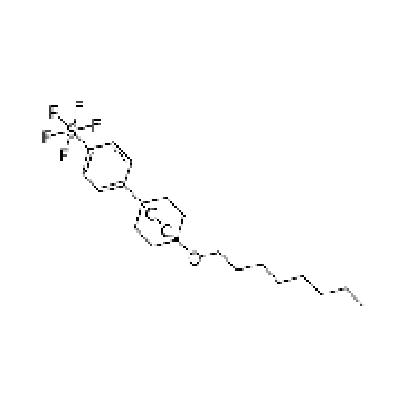 CCCCCCCCOC12CCC(c3ccc(S(F)(F)(F)(F)F)cc3)(CC1)CC2